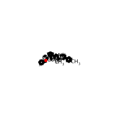 CN1CCC(c2ccc(Nc3cc(-c4cccc(N5CCn6c(cc7c6CCCC7)C5=O)c4CO)cn(C)c3=O)nc2)CC1